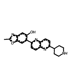 Cc1nc2cc(O)c(-c3ccc4nc(C5CCNCC5)ccc4n3)cc2o1